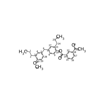 CCCc1cc(Cc2ccc(OC(=O)c3cccc(C(C)=O)c3)c(CCC)c2)ccc1OC